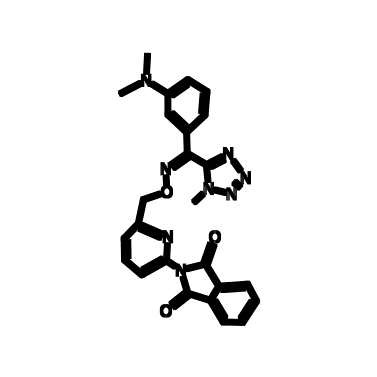 CN(C)c1cccc(C(=NOCc2cccc(N3C(=O)c4ccccc4C3=O)n2)c2nnnn2C)c1